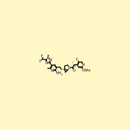 COc1cc([C@@H](C)C(=O)N2CC[C@]3(CCc4cc(-c5nc(C(F)F)n(C)n5)c(C)nc4N)CC23)c(F)cn1